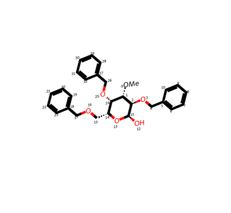 CO[C@@H]1[C@@H](OCc2ccccc2)[C@@H](O)O[C@H](COCc2ccccc2)[C@@H]1OCc1ccccc1